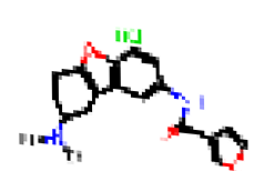 CCN(CC)C1CCc2oc3ccc(NC(=O)c4ccoc4)cc3c2C1.Cl